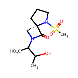 CC(O)C(C(=O)O)N1C[C@@]2(CCCN2S(C)(=O)=O)C1=O